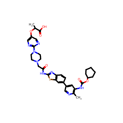 Cc1ncc(-c2ccc3nc(NC(=O)CN4CCN(c5ncc(OC(C)C(=O)O)cn5)CC4)sc3c2)cc1NC(=O)OC1CCCCC1